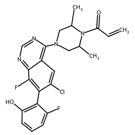 C=CC(=O)N1C(C)CN(c2ncnc3c(F)c(-c4c(O)cccc4F)c(Cl)cc23)CC1C